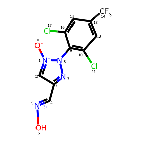 [O-][n+]1cc(/C=N/O)nn1-c1c(Cl)cc(C(F)(F)F)cc1Cl